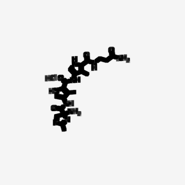 CC1=NC(N)(C(=O)Nc2c[nH]c(C(=O)Nc3c[nH]c(C(=O)NCCC(N)=O)c3C)c2C)C=N1.Cl